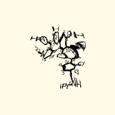 CC(C)Nc1ccc(-c2cc(=O)c3c(O)cc(O)c([C@H]4CCN(C)[C@@H]4CO)c3o2)c(Cl)c1